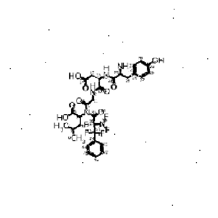 CC(C)C[C@@H](C(=O)O)N(C(=O)CNC(=O)[C@@H](CC(=O)O)NC(=O)[C@@H](N)Cc1ccc(O)cc1)C(=O)[C@@](F)(N(F)F)C(F)(F)c1ccccc1